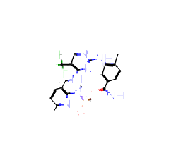 Cc1ccc(CNc2nc(Nc3cc(C(N)=O)ccc3C)ncc2C(F)(F)F)c(N(C)[S+](C)[O-])n1